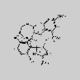 CCCC[S@+]([O-])N[C@@](CS1(=O)=NCCCCN1Cc1ccc(OC)cc1OC)(c1nc(Br)ccc1F)C(F)F